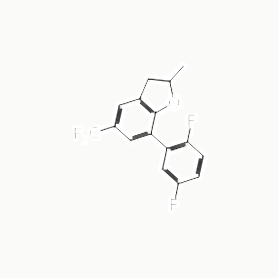 CC1Cc2cc(C(F)(F)F)cc(-c3cc(F)ccc3F)c2O1